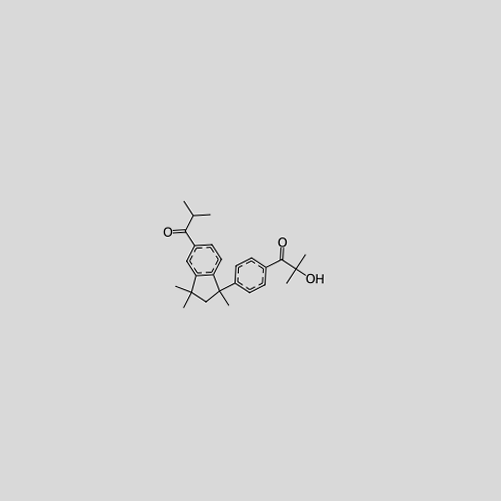 CC(C)C(=O)c1ccc2c(c1)C(C)(C)CC2(C)c1ccc(C(=O)C(C)(C)O)cc1